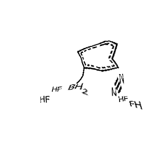 Bc1ccccc1.F.F.F.F.N#N